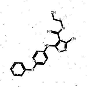 C[C@@H](CO)NC(=N)c1c(O)nsc1Nc1ccc(Oc2ccccc2)cc1